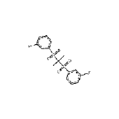 CC(C)(S(=O)(=O)c1cccc(F)c1)S(=O)(=O)c1cccc(F)c1